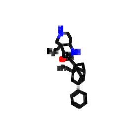 CCC[C@]12CC3CC1(C(=O)NC1CCNCC1(C)C)C[C@@](c1ccccc1)(C3)C2